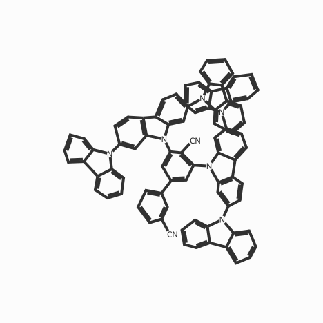 N#Cc1cccc(-c2cc(-n3c4cc(-n5c6ccccc6c6ccccc65)ccc4c4ccc(-n5c6ccccc6c6ccccc65)cc43)c(C#N)c(-n3c4cc(-n5c6ccccc6c6ccccc65)ccc4c4ccc(-n5c6ccccc6c6ccccc65)cc43)c2)c1